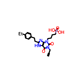 C#CCn1c(=O)c2[nH]c(CCc3ccc(CC)cc3)nc2n(CCCCP(=O)(O)O)c1=O